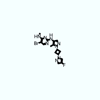 CNc1nc(Nc2cnn([C@H]3C[C@@H](n4cc(F)cn4)C3)c2C)ncc1Br